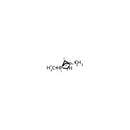 C[PH]12C[PH](C)(C1)C2